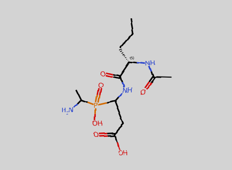 CCC[C@H](NC(C)=O)C(=O)NC(CC(=O)O)P(=O)(O)C(C)N